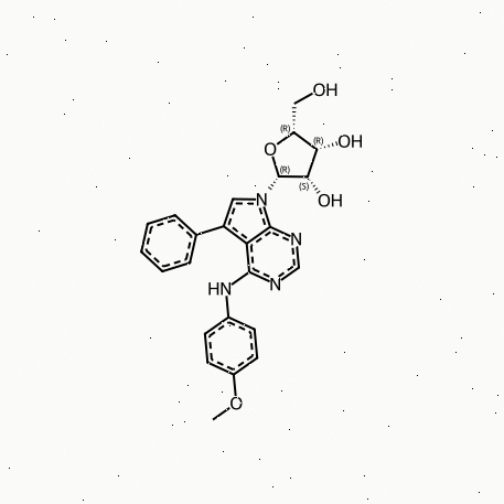 COc1ccc(Nc2ncnc3c2c(-c2ccccc2)cn3[C@@H]2O[C@H](CO)[C@H](O)[C@@H]2O)cc1